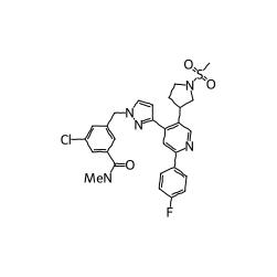 CNC(=O)c1cc(Cl)cc(Cn2ccc(-c3cc(-c4ccc(F)cc4)ncc3C3CCN(S(C)(=O)=O)C3)n2)c1